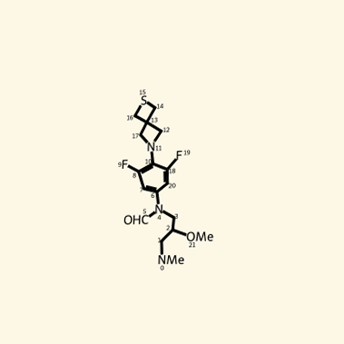 CNCC(CN(C=O)c1cc(F)c(N2CC3(CSC3)C2)c(F)c1)OC